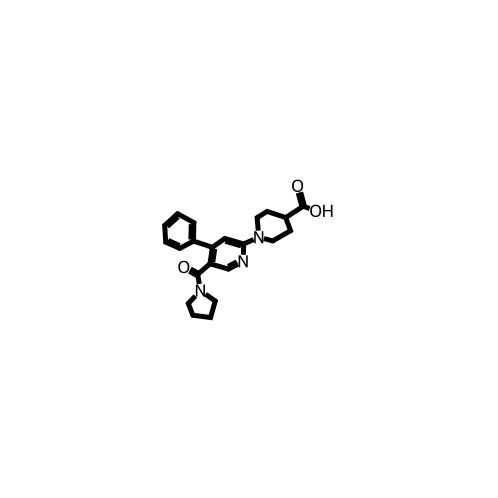 O=C(O)C1CCN(c2cc(-c3ccccc3)c(C(=O)N3CCCC3)cn2)CC1